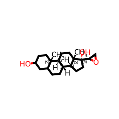 C[C@]12CCC(O)CC1CC[C@@H]1[C@@H]2CC[C@@]2(C)[C@H]1CC[C@]2(O)C1CO1